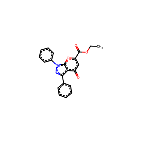 CCOC(=O)c1cc(=O)c2c(-c3ccccc3)nn(-c3ccccc3)c2o1